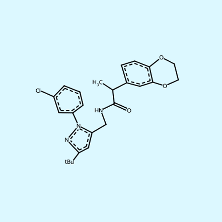 CC(C(=O)NCc1cc(C(C)(C)C)nn1-c1cccc(Cl)c1)c1ccc2c(c1)OCCO2